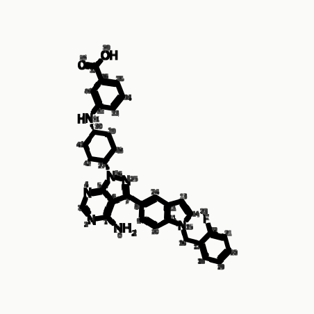 Nc1ncnc2c1c(-c1ccc3c(ccn3Cc3ccccc3F)c1)nn2[C@H]1CC[C@@H](Nc2cccc(C(=O)O)c2)CC1